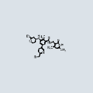 CCC1CC(Nc2cc(-c3ccc(CBr)nc3)cc(C(=O)NCc3c(C)cc(C)[nH]c3=O)c2C)CCO1